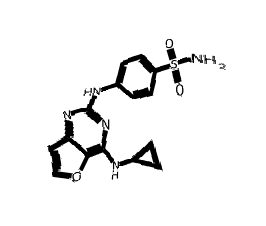 NS(=O)(=O)c1ccc(Nc2nc(NC3CC3)c3occc3n2)cc1